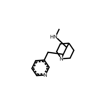 CNC1C2CCN(CC2)C1Cc1cccnc1